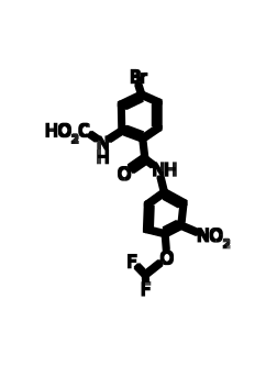 O=C(O)Nc1cc(Br)ccc1C(=O)Nc1ccc(OC(F)F)c([N+](=O)[O-])c1